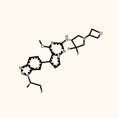 COc1nc(N[C@@H]2CN(C3COC3)CC2(F)F)nn2ccc(-c3ccc4nnn([C@H](C)CF)c4c3)c12